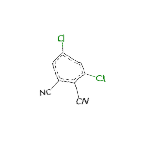 N#Cc1cc(Cl)cc(Cl)c1C#N